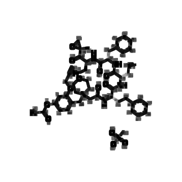 C#CCOc1cc(OC(=O)CC)ccc1C[N+]1(CC(=O)N[C@@H](CCc2ccccc2)C(=O)N[C@@H](CC(C)C)C(=O)N[C@@H](Cc2ccccc2)C(=O)N[C@@H](CC(C)C)C(=O)[C@@]2(C)CO2)CCOCC1.CS(=O)(=O)[O-]